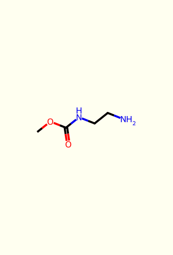 COC(=O)NCCN